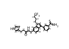 NC(=S)c1cccc(-c2cn(CCCC(F)(F)F)c3cc(CNC(=O)CCc4c[nH]cn4)ccc23)c1